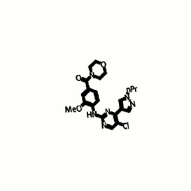 CCCn1cc(-c2nc(Nc3ccc(C(=O)N4CCOCC4)cc3OC)ncc2Cl)cn1